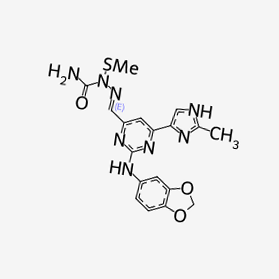 CSN(/N=C/c1cc(-c2c[nH]c(C)n2)nc(Nc2ccc3c(c2)OCO3)n1)C(N)=O